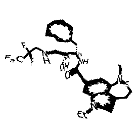 CCn1cc2c3c(cc(C(=O)N[C@@H](Cc4ccccc4)[C@H](O)CNCC(F)(F)C(F)(F)F)cc31)N(C)SCC2